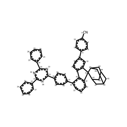 N#Cc1ccc(-c2ccc3c(c2)C2(c4cccc(-c5ccc(-c6nc(-c7ccccc7)nc(-c7ccccc7)n6)cc5)c4-3)C3CC4CC(C3)CC2C4)cc1